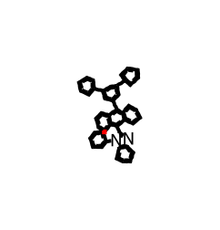 c1ccc(-c2cc(-c3ccccc3)cc(-c3c4ccccc4c(-c4nc5ccccc5n4-c4ccccc4)c4ccccc34)c2)cc1